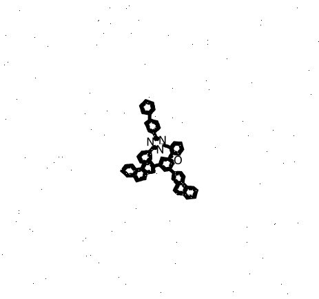 c1ccc(-c2ccc(-c3nc(-c4ccccc4)nc(-c4cccc5oc6c(-c7ccc8c(ccc9ccccc98)c7)cc(-c7ccc8c(ccc9ccccc98)c7)cc6c45)n3)cc2)cc1